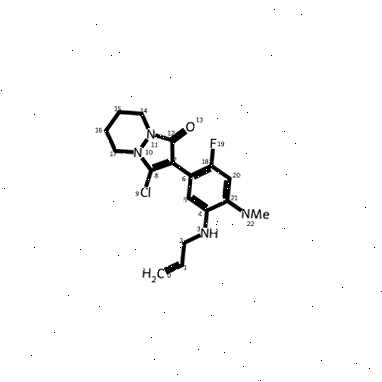 C=CCNc1cc(-c2c(Cl)n3n(c2=O)CCCC3)c(F)cc1NC